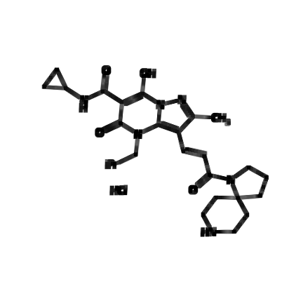 Cc1nn2c(O)c(C(=O)NC3CC3)c(=O)n(CC(C)C)c2c1C=CC(=O)N1CCCC12CCNCC2.Cl